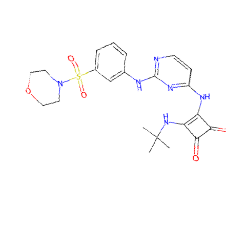 CC(C)(C)Nc1c(Nc2ccnc(Nc3cccc(S(=O)(=O)N4CCOCC4)c3)n2)c(=O)c1=O